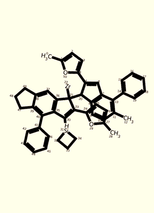 Cc1ccc(C2=Cc3c(ccc(C)c3-c3ccccc3)C2[C]2([Zr])C(c3ccc(C)o3)=C([SiH]3CCC3)c3c2cc2c(c3-c3ccccc3)CCC2)o1